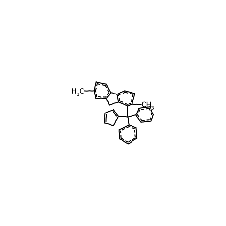 Cc1ccc2c(c1)Cc1c-2ccc(C)c1C(C1=CC=CC1)(c1ccccc1)c1ccccc1